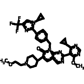 COCCN1CCC(c2cc3cnc(-c4c(OC)ncnc4C4CC4)nc3n(Cc3ccc(-c4nc(C(F)(F)F)cn4C4CC4)cc3)c2=O)CC1